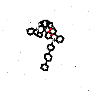 c1ccc(-c2ccc(-c3ccc(N(c4ccc5c(c4)-c4ccccc4C54c5ccccc5-n5c6ccccc6c6cccc4c65)c4ccccc4-c4ccc(-c5ccccc5)cc4)cc3)cc2)cc1